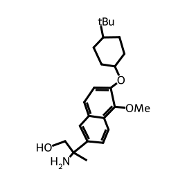 COc1c(OC2CCC(C(C)(C)C)CC2)ccc2cc(C(C)(N)CO)ccc12